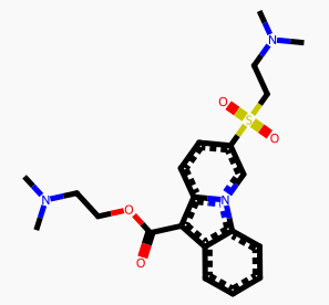 CN(C)CCOC(=O)c1c2ccccc2n2cc(S(=O)(=O)CCN(C)C)ccc12